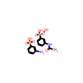 CC(=O)Nc1cccc([As](=O)(O)OO)c1.Nc1cccc(S(=O)(=O)O)c1